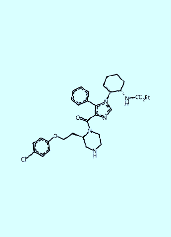 CCOC(=O)N[C@H]1CCCC[C@@H]1n1cnc(C(=O)N2CCNC[C@H]2CCOc2ccc(Cl)cc2)c1-c1ccccc1